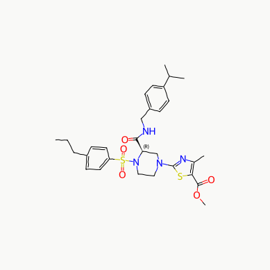 CCCc1ccc(S(=O)(=O)N2CCN(c3nc(C)c(C(=O)OC)s3)C[C@@H]2C(=O)NCc2ccc(C(C)C)cc2)cc1